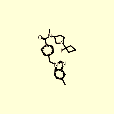 Cc1ccc2c(c1)ncn2Cc1ccc(C(=O)N(C)C2CCN(C3(I)CCC3)C2)cc1